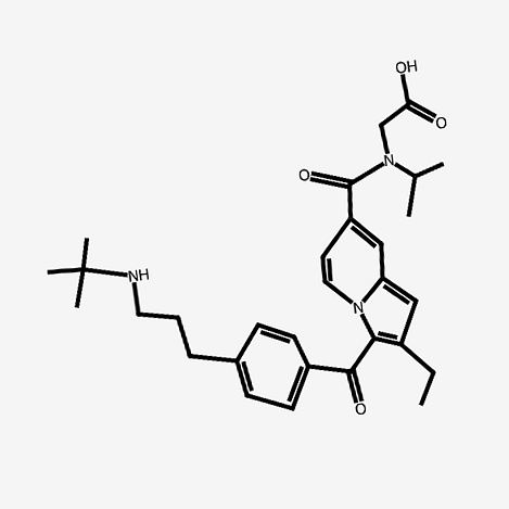 CCc1cc2cc(C(=O)N(CC(=O)O)C(C)C)ccn2c1C(=O)c1ccc(CCCNC(C)(C)C)cc1